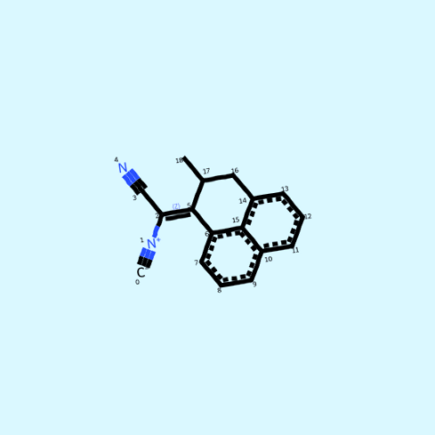 [C-]#[N+]/C(C#N)=C1\c2cccc3cccc(c23)CC1C